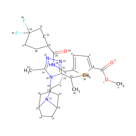 COC(=O)c1ccc([C@H](CCN2C3CCC2CC(n2c(C)nnc2C(C)C)C3)NC(=O)C2CCC(F)(F)CC2)s1